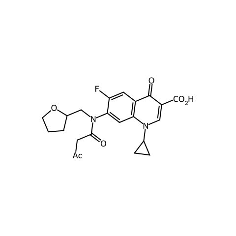 CC(=O)CC(=O)N(CC1CCCO1)c1cc2c(cc1F)c(=O)c(C(=O)O)cn2C1CC1